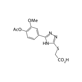 COc1cc(-c2nnc(SCC(=O)O)[nH]2)ccc1OC(C)=O